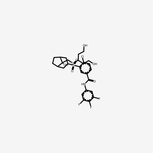 O=C(Nc1cc(F)c(F)c(F)c1)c1ccc(Cl)c(S(=O)(=O)C2CC3CCC(C2)C3(O)COC(CCO)CCO)c1